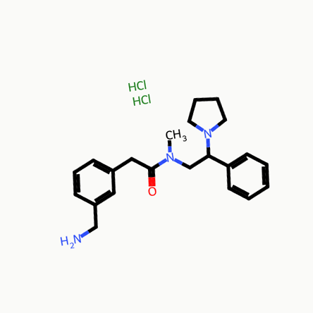 CN(CC(c1ccccc1)N1CCCC1)C(=O)Cc1cccc(CN)c1.Cl.Cl